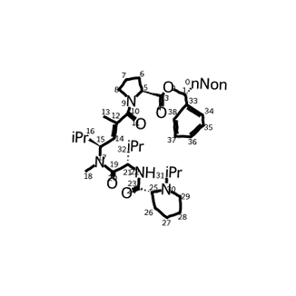 CCCCCCCCC[C@@H](OC(=O)[C@@H]1CCCN1C(=O)/C(C)=C/[C@H](C(C)C)N(C)C(=O)[C@@H](NC(=O)[C@H]1CCCCN1C(C)C)C(C)C)c1ccccc1